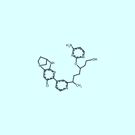 CC(CCC(CCO)Oc1nccc(N)n1)c1cc(-c2nc3c(cc2Cl)N2CCC(C2)N3)ccn1